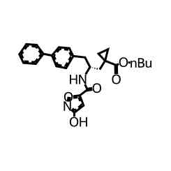 CCCCOC(=O)C1(C[C@@H](Cc2ccc(-c3ccccc3)cc2)NC(=O)c2cc(O)no2)CC1